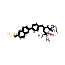 CC1(C)CC(Cc2ccc(-c3ccc4cc(CP)ccc4c3)cc2)CC(C)(C)N1O